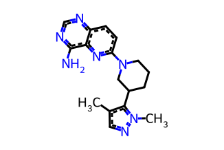 Cc1cnn(C)c1C1CCCN(c2ccc3ncnc(N)c3n2)C1